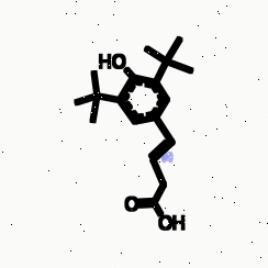 CC(C)(C)c1cc(/C=C/CC(=O)O)cc(C(C)(C)C)c1O